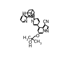 CC(C)(O)COc1cc(-c2ccc(N3CC4C[C@@H](C3)[C@H]4Nc3ncccn3)nc2)c2c(C#N)cnn2c1